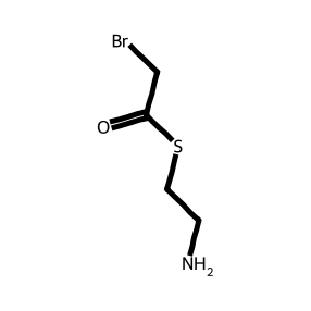 NCCSC(=O)CBr